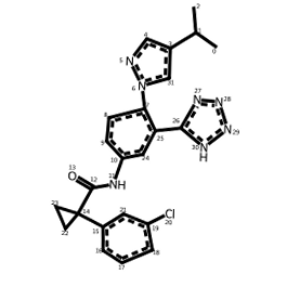 CC(C)c1cnn(-c2ccc(NC(=O)C3(c4cccc(Cl)c4)CC3)cc2-c2nnn[nH]2)c1